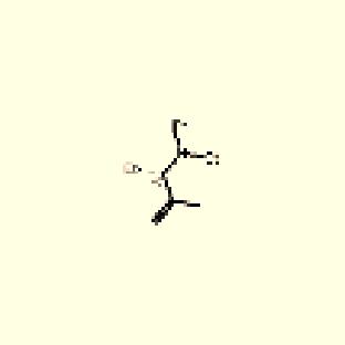 C=C(C)[C@H](CC)N(CC)C(C)C